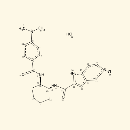 CN(C)c1ccc(C(=O)N[C@@H]2CCCC[C@@H]2NC(=O)c2cc3cc(Cl)ccc3[nH]2)cc1.Cl